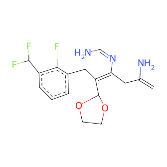 C=C(N)CC(/N=C\N)=C(/Cc1cccc(C(F)F)c1F)C1OCCO1